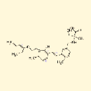 C=C\C=C/C(/C=C/c1cc(CNC(C)(CO)C(=O)O)ccc1C)=C(/C)OCCO/C(=C/C=C)CC